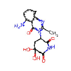 Cc1nc2cccc(N)c2c(=O)n1C1CC(O)(O)C(=O)NC1=O